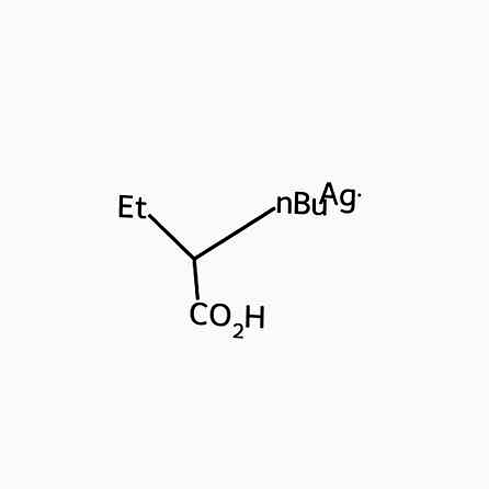 CCCCC(CC)C(=O)O.[Ag]